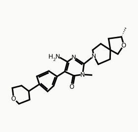 C[C@H]1CC2(CCN(c3nc(N)c(-c4ccc(C5CCOCC5)cc4)c(=O)n3C)CC2)CO1